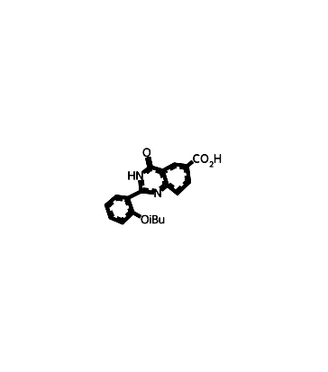 CC(C)COc1ccccc1-c1nc2ccc(C(=O)O)cc2c(=O)[nH]1